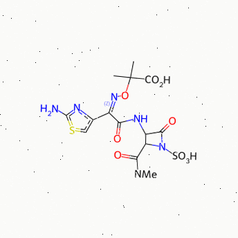 CNC(=O)C1C(NC(=O)/C(=N\OC(C)(C)C(=O)O)c2csc(N)n2)C(=O)N1S(=O)(=O)O